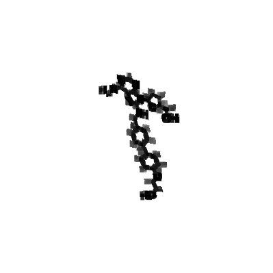 Nc1ncnc2c1nc(NCc1ccc(-c3ccc(OCCO)cc3)cc1)n2[C@H]1CC[C@@H](CO)O1